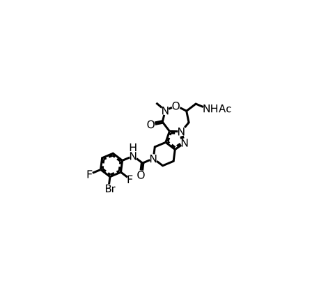 CC(=O)NCC1Cn2nc3c(c2C(=O)N(C)O1)CN(C(=O)Nc1ccc(F)c(Br)c1F)CC3